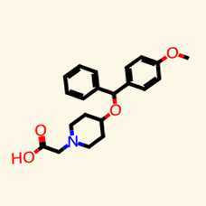 COc1ccc(C(OC2CCN(CC(=O)O)CC2)c2ccccc2)cc1